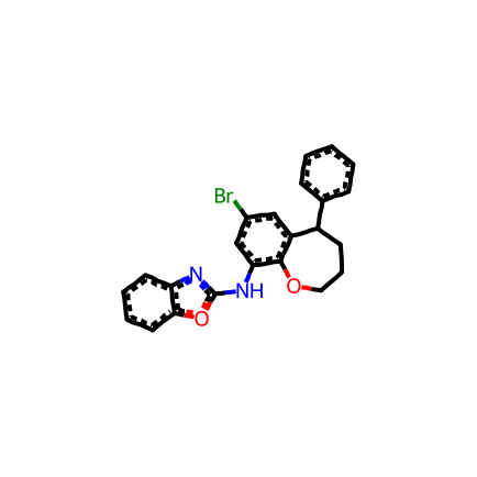 Brc1cc(Nc2nc3ccccc3o2)c2c(c1)C(c1ccccc1)CCCO2